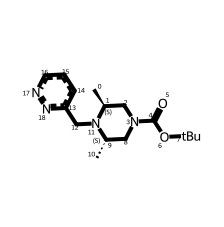 C[C@H]1CN(C(=O)OC(C)(C)C)C[C@H](C)N1Cc1cccnn1